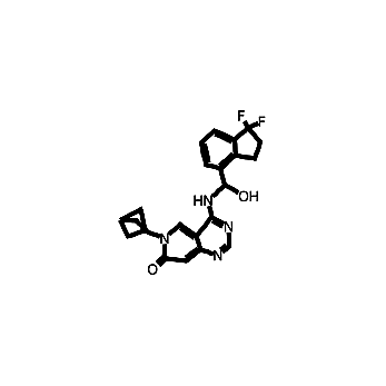 O=c1cc2ncnc(NC(O)c3cccc4c3CCC4(F)F)c2cn1C12CC(C1)C2